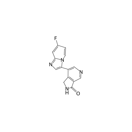 O=C1NCc2c1cncc2-c1cnc2cc(F)ccn12